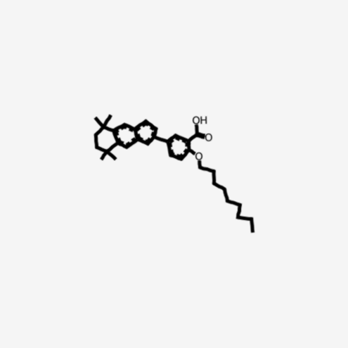 CCCCCCCCCOc1ccc(-c2ccc3cc4c(cc3c2)C(C)(C)CCC4(C)C)cc1C(=O)O